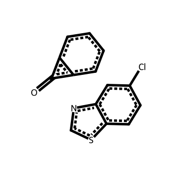 Clc1ccc2scnc2c1.O=c1c2ccccc12